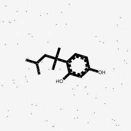 CC(C)CC(C)(C)c1ccc(O)cc1O